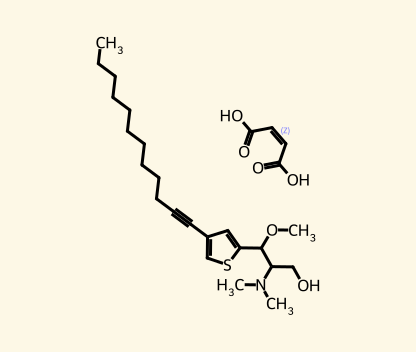 CCCCCCCCCCC#Cc1csc(C(OC)C(CO)N(C)C)c1.O=C(O)/C=C\C(=O)O